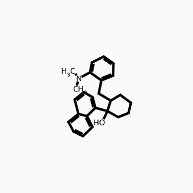 CN(C)c1ccccc1CC1CCCCC1(O)c1cccc2ccccc12